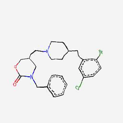 O=C1OCC(CN2CCC(Cc3cc(Cl)ccc3Br)CC2)CN1Cc1ccccc1